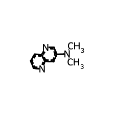 CN(C)c1cnc2cccnc2c1